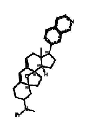 CC(C)N(C)C1CCC2=CC3=CCC4(C)[C@@H](c5ccc6ccncc6c5)CC[C@H]4[C@@]34CC[C@]2(C1)O4